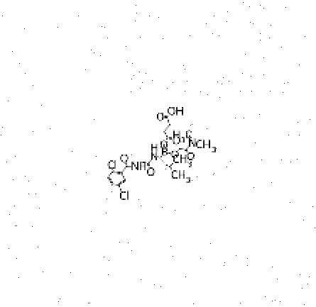 CC(C)C[C@H](NC(=O)CNC(=O)c1cc(Cl)ccc1Cl)B(OCC(=O)N(C)C)OC(=O)CCC(=O)O